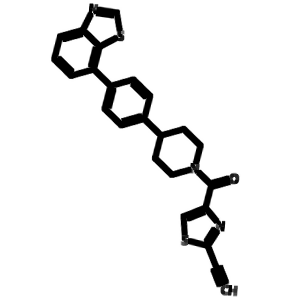 C#Cc1nc(C(=O)N2CCC(c3ccc(-c4cccc5ncsc45)cc3)CC2)cs1